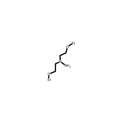 CCOCCN(N)CCOCC